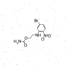 NC(=O)OCCNc1cc(Br)ccc1[N+](=O)[O-]